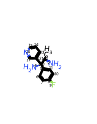 C[C@H](N)[C@](N)(c1ccc(F)cc1)c1cccnc1